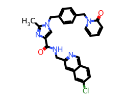 Cc1nc(C(=O)NCc2cc3cc(Cl)ccc3cn2)cn1Cc1ccc(Cn2ccccc2=O)cc1